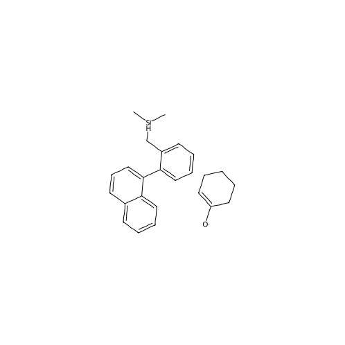 C[SiH](C)Cc1ccccc1-c1cccc2ccccc12.[O]C1=CCCCC1